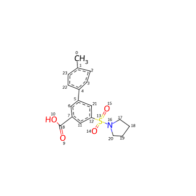 Cc1ccc(-c2cc(C(=O)O)cc(S(=O)(=O)N3CCCC3)c2)cc1